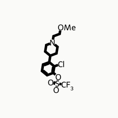 COCCN1CCC(c2cccc(OS(=O)(=O)C(F)(F)F)c2Cl)CC1